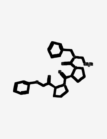 CCOC(=O)CN(Cc1ccccc1)C(=O)N1CCC[C@H]1C(=O)N1CCC[C@H]1C(=O)COc1ccccc1